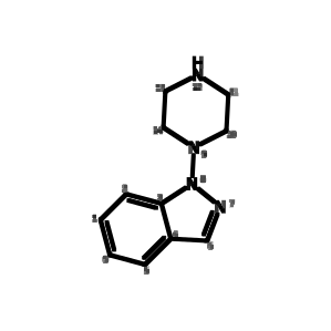 c1ccc2c(c1)cnn2N1CCNCC1